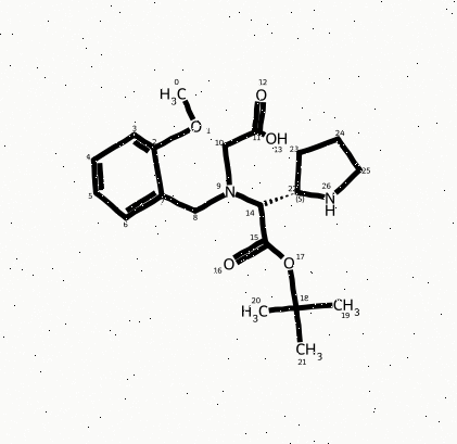 COc1ccccc1CN(CC(=O)O)C(C(=O)OC(C)(C)C)[C@@H]1CCCN1